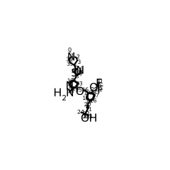 CN1CCC(c2ncc(-c3cnc(N)c(OCc4cc(C#CC(C)(C)O)ccc4OC(F)F)c3)s2)CC1